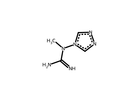 CN(C(=N)N)n1cnnc1